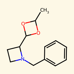 CC1OC(C2CCN2Cc2ccccc2)O1